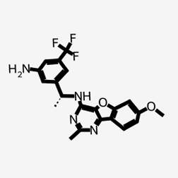 COc1ccc2c(c1)oc1c(N[C@H](C)c3cc(N)cc(C(F)(F)F)c3)nc(C)nc12